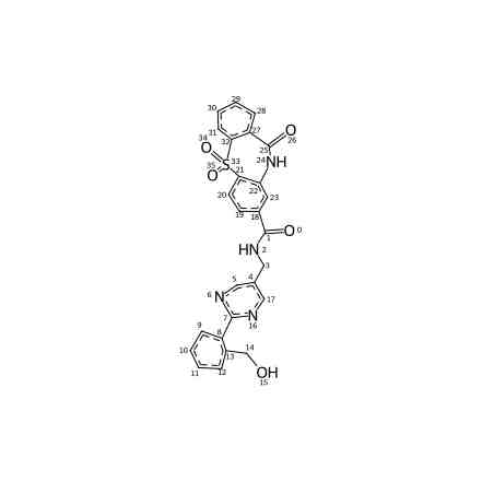 O=C(NCc1cnc(-c2ccccc2CO)nc1)c1ccc2c(c1)NC(=O)c1ccccc1S2(=O)=O